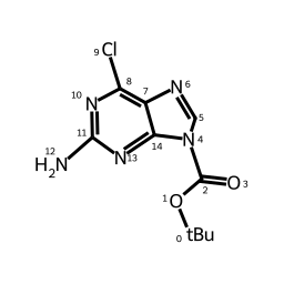 CC(C)(C)OC(=O)n1cnc2c(Cl)nc(N)nc21